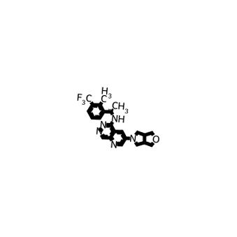 Cc1c([C@@H](C)Nc2nncc3ncc(N4CC5COCC5C4)cc23)cccc1C(F)(F)F